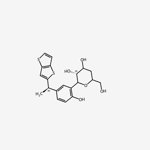 C[C@H](c1ccc(O)c(C2OC(CO)CC(O)[C@H]2O)c1)c1cc2sccc2s1